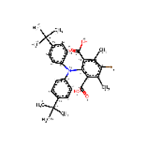 Cc1c(Br)c(C)c(C(=O)O)c(N(c2ccc(C(C)(C)C)cc2)c2ccc(C(C)(C)C)cc2)c1C(=O)O